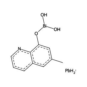 Cc1cc([O][Bi]([OH])[OH])c2ncccc2c1.[PbH2]